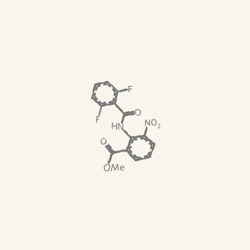 COC(=O)c1cccc([N+](=O)[O-])c1NC(=O)c1c(F)cccc1F